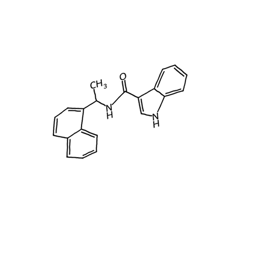 CC(NC(=O)c1c[nH]c2ccccc12)c1cccc2ccccc12